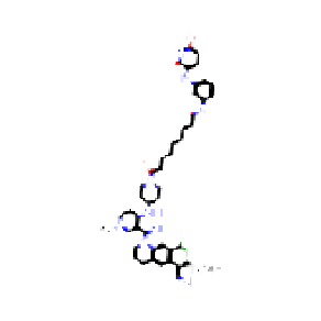 CN/C=C(\C=N)c1cc2c(cc1C(F)F)N(C(=N)C1=C(NC3CCN(C(=O)CCCCCCCC(=O)Nc4cccc(NC5CCC(=O)NC5=O)c4)CC3)CCN(C(C)=O)C1)CCC2